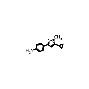 Cn1nc(-c2ccc(N)cc2)cc1C1CC1